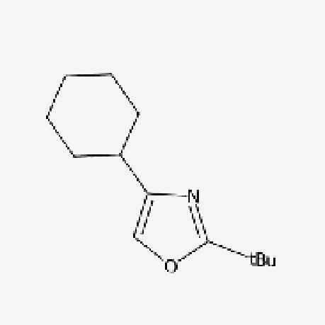 CC(C)(C)c1nc(C2CCCCC2)co1